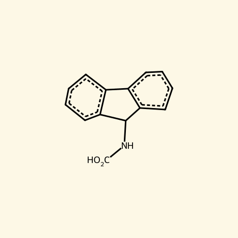 O=C(O)NC1c2ccccc2-c2ccccc21